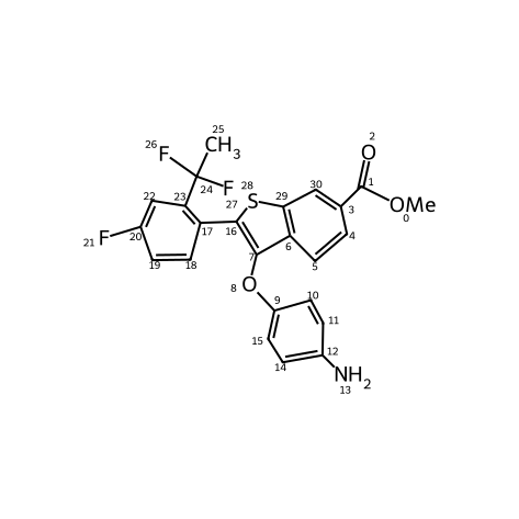 COC(=O)c1ccc2c(Oc3ccc(N)cc3)c(-c3ccc(F)cc3C(C)(F)F)sc2c1